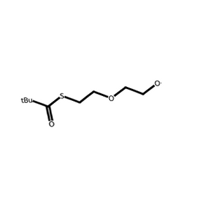 CC(C)(C)C(=O)SCCOCC[O]